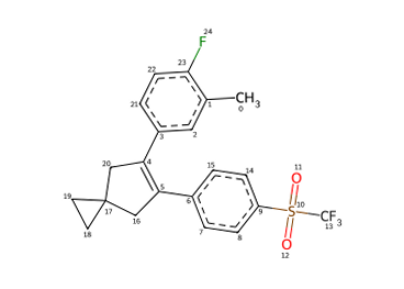 Cc1cc(C2=C(c3ccc(S(=O)(=O)C(F)(F)F)cc3)CC3(CC3)C2)ccc1F